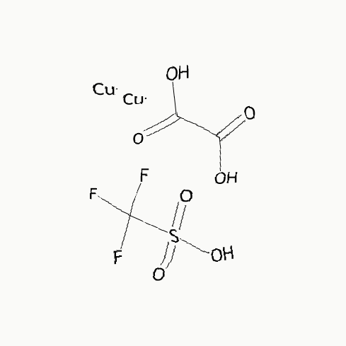 O=C(O)C(=O)O.O=S(=O)(O)C(F)(F)F.[Cu].[Cu]